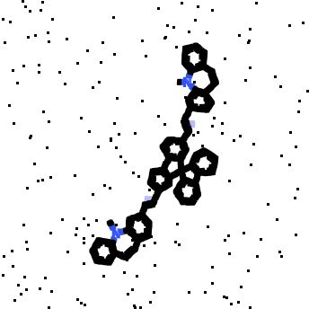 CN1c2ccccc2C=Cc2ccc(/C=C/c3ccc4c(c3)C3(c5ccccc5-c5ccccc53)c3cc(/C=C/c5ccc6c(c5)N(C)c5ccccc5C=C6)ccc3-4)cc21